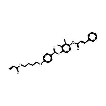 C=CC(=O)OCCCCOc1ccc(C(=O)Oc2ccc(OC(=O)/C=C/c3ccccc3)c(C)c2C)cc1